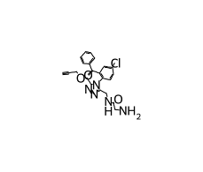 C#CCOCc1nnc(CNC(=O)CN)n1-c1ccc(Cl)cc1C(=O)c1ccccc1